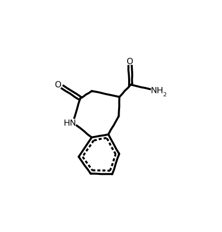 NC(=O)C1CC(=O)Nc2ccccc2C1